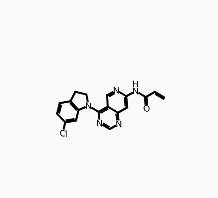 C=CC(=O)Nc1cc2ncnc(N3CCc4ccc(Cl)cc43)c2cn1